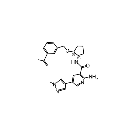 C=C(C)c1cccc(CO[C@H]2CCC[C@@H]2NC(=O)c2cc(-c3cnn(C)c3)cnc2N)c1